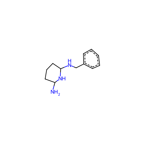 NC1CCCC(NCc2ccccc2)N1